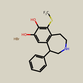 Br.Oc1cc2c(c(SC(F)(F)F)c1O)CCNCC2c1ccccc1